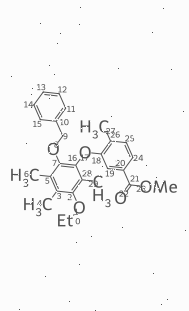 CCOc1c(C)c(C)c(OCc2ccccc2)c(Oc2cc(C(=O)OC)ccc2C)c1C